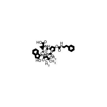 C=C[C@@H]1C[C@]1(NC(=O)[C@@H]1C[C@@H](OC(=O)NCCc2ccccc2)CN1C(=O)N[C@H](C(=O)N[C@H]1c2ccccc2C[C@H]1O)C(C)(C)C)C(=O)O